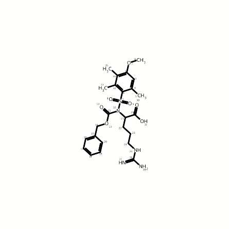 COc1cc(C)c(S(=O)(=O)N(C(=O)OCc2ccccc2)C(CCCNC(=N)N)C(=O)O)c(C)c1C